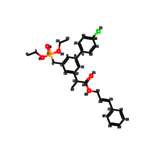 CCOP(=O)(Cc1cc(-c2ccc(Cl)cc2)cc(C(C)C(=O)OCC=Cc2ccccc2)c1)OCC